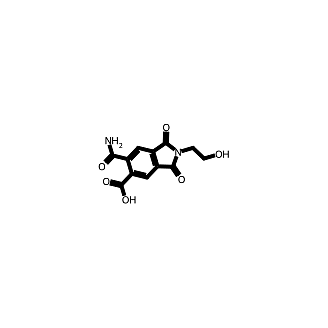 NC(=O)c1cc2c(cc1C(=O)O)C(=O)N(CCO)C2=O